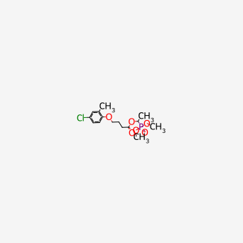 COP(=O)(OC)C(C)OC(=O)CCCOc1ccc(Cl)cc1C